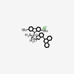 CC1=Cc2c(-c3cc4ccccc4c4ccccc34)cccc2[CH]1[Zr+2]([CH]1c2cc(C(C)(C)C)ccc2-c2ccc(C(C)(C)C)cc21)=[Si](C)C.[Cl-].[Cl-]